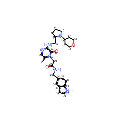 Cc1cnc(NC[C@H]2CCCN2C2CCOCC2)c(=O)n1CC(=O)NCc1ccc2[nH]ccc2c1